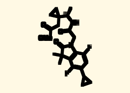 COC(=O)CC1([C@@H](C)NC(=O)CN2C(=O)C(C)(C)c3c(F)c(C4CC4)cc(F)c32)CC1